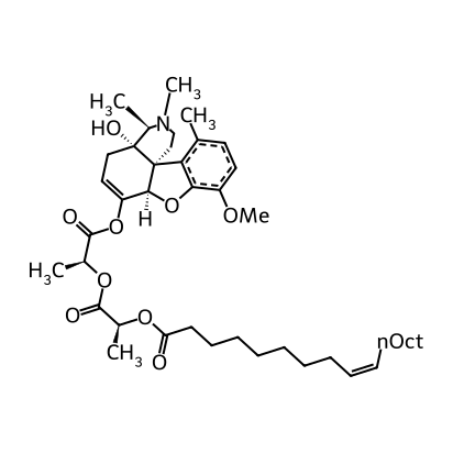 CCCCCCCC/C=C\CCCCCCCC(=O)O[C@@H](C)C(=O)O[C@@H](C)C(=O)OC1=CC[C@@]2(O)[C@@H](C)N(C)CC[C@@]23c2c(C)ccc(OC)c2O[C@@H]13